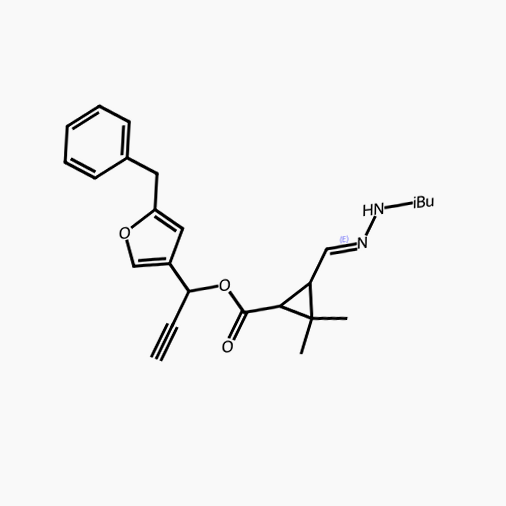 C#CC(OC(=O)C1C(/C=N/NC(C)CC)C1(C)C)c1coc(Cc2ccccc2)c1